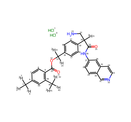 Cl.Cl.[2H]C([2H])([2H])c1ccc(C(=O)OC([2H])([2H])c2ccc(C([2H])(CN)C(=O)Nc3ccc4cnccc4c3)cc2)c(C([2H])([2H])[2H])c1